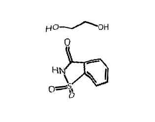 O=C1NS(=O)(=O)c2ccccc21.OCCO